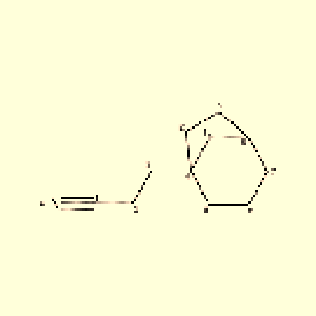 N#CCCC12CCCC(CC1)C2